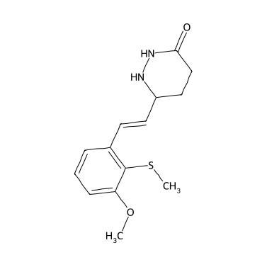 COc1cccc(/C=C/C2CCC(=O)NN2)c1SC